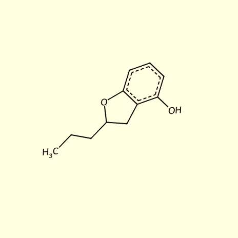 CCCC1Cc2c(O)cccc2O1